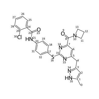 Cc1cc(Cc2cc(C(=O)N3CCC3)nc(Sc3ccc(NC(=O)c4ccccc4Cl)cc3)n2)n[nH]1